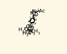 CC(=O)Cc1nnc(-c2ccc(B3OC(C)(C)C(C)(C)O3)cc2)o1